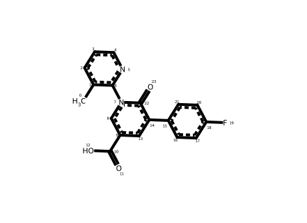 Cc1cccnc1-n1cc(C(=O)O)cc(-c2ccc(F)cc2)c1=O